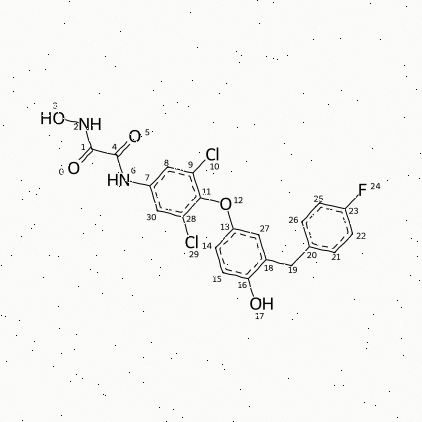 O=C(NO)C(=O)Nc1cc(Cl)c(Oc2ccc(O)c(Cc3ccc(F)cc3)c2)c(Cl)c1